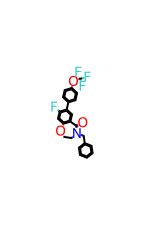 O=C1c2cc(-c3ccc(OC(F)(F)F)cc3)c(F)cc2OCCN1Cc1ccccc1